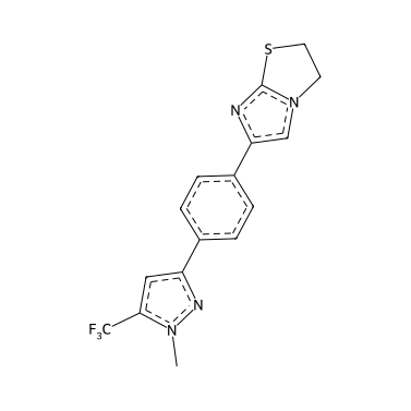 Cn1nc(-c2ccc(-c3cn4c(n3)SCC4)cc2)cc1C(F)(F)F